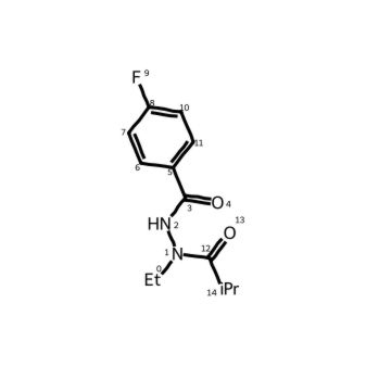 CCN(NC(=O)c1ccc(F)cc1)C(=O)C(C)C